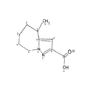 CC1CCCCn2nc(C(=O)O)cc21